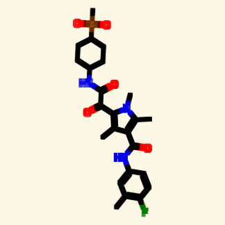 Cc1cc(NC(=O)c2c(C)c(C(=O)C(=O)NC3CCC(S(C)(=O)=O)CC3)n(C)c2C)ccc1F